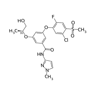 C[C@@H](CO)Oc1cc(Oc2cc(Cl)c(S(C)(=O)=O)cc2F)cc(C(=O)Nc2ccn(C)n2)c1